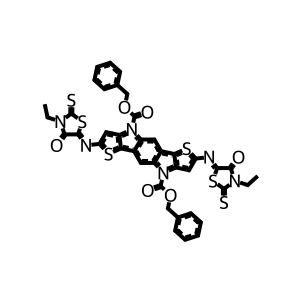 CCN1C(=O)/C(=N/c2cc3c(s2)c2cc4c(cc2n3C(=O)OCc2ccccc2)c2sc(/N=C3\SC(=S)N(CC)C3=O)cc2n4C(=O)OCc2ccccc2)SC1=S